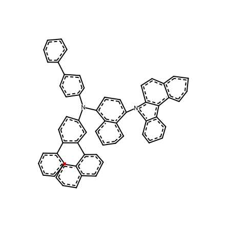 c1ccc(-c2ccc(N(c3ccc(-c4ccccc4)c(-c4cccc5ccccc45)c3)c3ccc(-n4c5ccccc5c5c6ccccc6ccc54)c4ccccc34)cc2)cc1